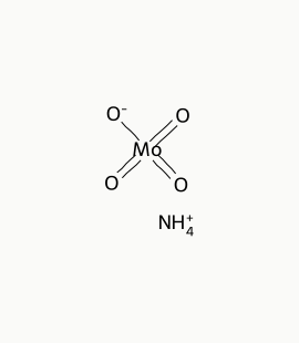 [NH4+].[O]=[Mo](=[O])(=[O])[O-]